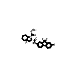 CC(C)(C)OC(=O)N1C2CCCC[C@H]2C[C@H]1C(=O)Nc1ccc2c(c1)C(F)(F)c1cc(I)ccc1-2